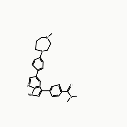 CN1CCCN(c2ccc(-c3cnc4[nH]cc(-c5ccc(C(=O)N(C)C)cc5)c4c3)cc2)CC1